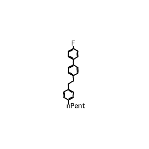 CCCCCc1ccc(CCc2ccc(-c3ccc(F)cc3)cc2)cc1